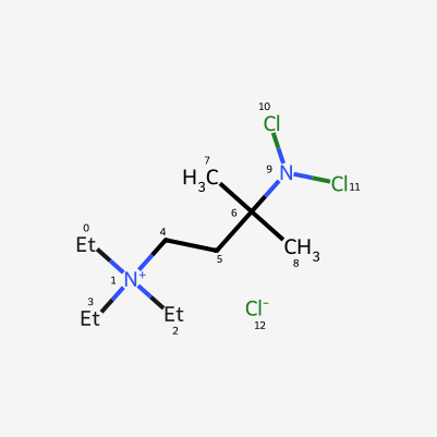 CC[N+](CC)(CC)CCC(C)(C)N(Cl)Cl.[Cl-]